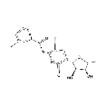 Cc1cccc(C(=O)Nc2nc(=O)n([C@@H]3O[C@H](C)[C@@H](O)[C@H]3O)cc2F)c1